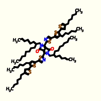 CCCCCCCCC(CCCCCC)CN1C(=O)C2=C(c3ncc(-c4cc(CCCCCC)c(-c5cc(CCCCCC)cs5)s4)s3)N(CC(CCCCCC)CCCCCCCC)C(=O)C2=C1c1ncc(-c2cc(CCCCCC)c(-c3cc(CCCCCC)cs3)s2)s1